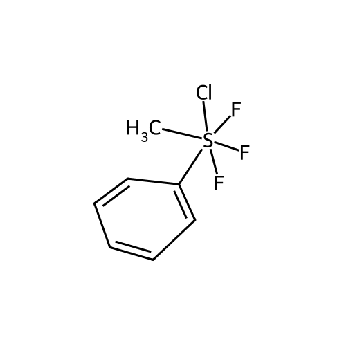 CS(F)(F)(F)(Cl)c1ccccc1